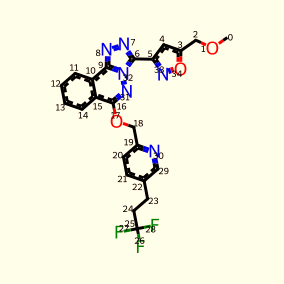 COCc1cc(-c2nnc3c4ccccc4c(OCc4ccc(CCC(F)(F)F)cn4)nn23)no1